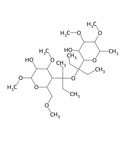 CCC(CC)(OC(CC)(CC)C1C(COC)OC(OC)C(O)C1OC)C1OC(C)C(OC)C(OC)C1O